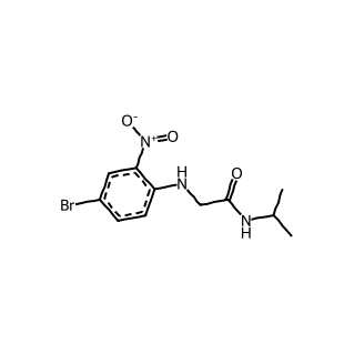 CC(C)NC(=O)CNc1ccc(Br)cc1[N+](=O)[O-]